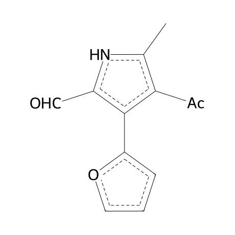 CC(=O)c1c(C)[nH]c(C=O)c1-c1ccco1